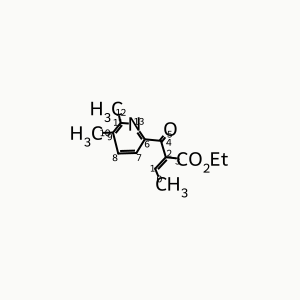 CC=C(C(=O)OCC)C(=O)c1ccc(C)c(C)n1